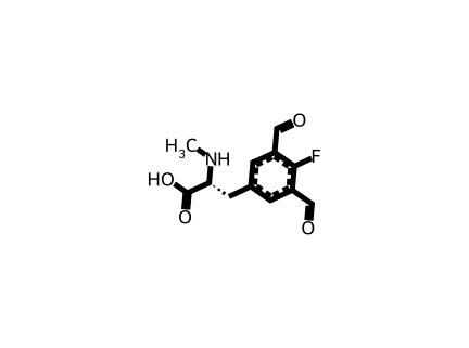 CN[C@H](Cc1cc(C=O)c(F)c(C=O)c1)C(=O)O